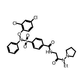 CCN(C(=O)CNC(=O)c1ccc(S(=O)(=O)N(Oc2ccc(Cl)cc2Cl)c2ccccc2)cc1)N1CCCC1